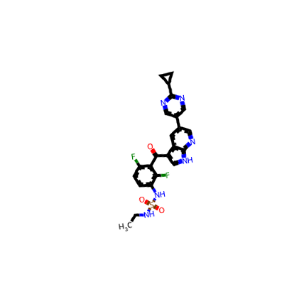 CCNS(=O)(=O)Nc1ccc(F)c(C(=O)c2c[nH]c3ncc(-c4cnc(C5CC5)nc4)cc23)c1F